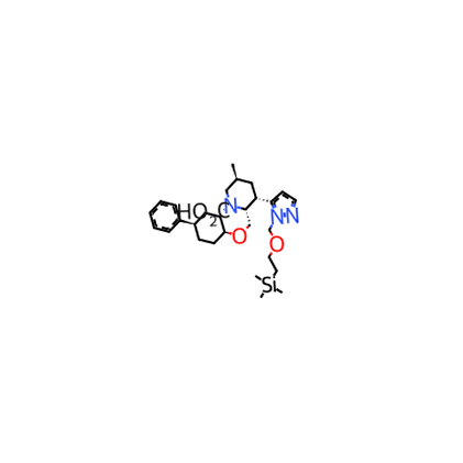 C[C@H]1C[C@H](c2ccnn2COCC[Si](C)(C)C)[C@H](CO[C@H]2CC[C@@H](c3ccccc3)CC2)N(C(=O)O)C1